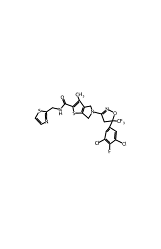 Cc1c(C(=O)NCc2nccs2)sc2c1CN(C1=NOC(c3cc(Cl)c(F)c(Cl)c3)(C(F)(F)F)C1)C2